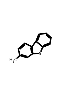 Cc1c[c]c2c(c1)sc1ccccc12